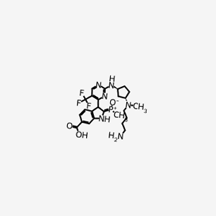 CN(CCCCN)[C@H]1CC[C@H](Nc2ncc(C(F)(F)F)c(C3/C(=[P+](/C)[O-])Nc4cc(C(=O)O)ccc43)n2)C1